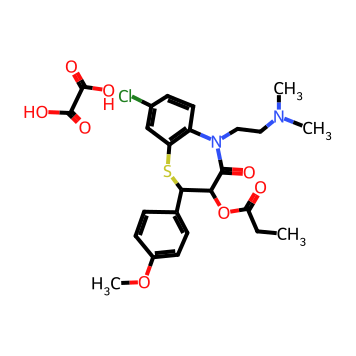 CCC(=O)OC1C(=O)N(CCN(C)C)c2ccc(Cl)cc2SC1c1ccc(OC)cc1.O=C(O)C(=O)O